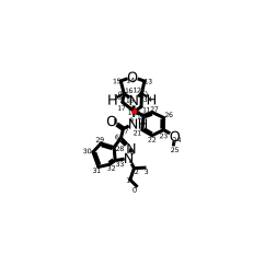 CCC(C)n1nc(C(=O)N[C@H]2C[C@H]3COC[C@@H](C2)N3Cc2ccc(OC)cc2)c2ccccc21